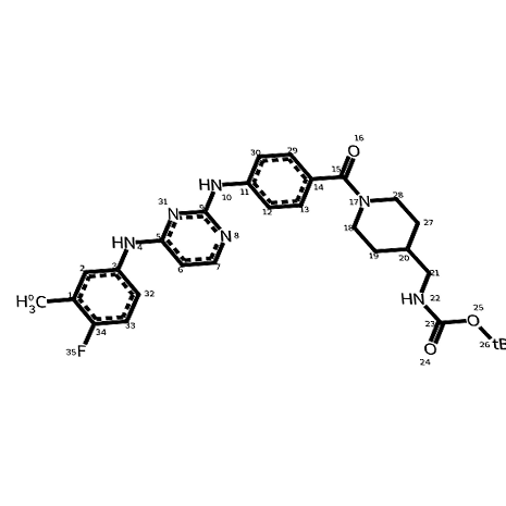 Cc1cc(Nc2ccnc(Nc3ccc(C(=O)N4CCC(CNC(=O)OC(C)(C)C)CC4)cc3)n2)ccc1F